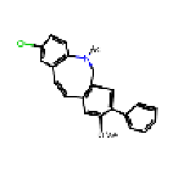 COc1cc2c(cc1-c1ccccc1)CN(C(C)=O)c1ccc(Cl)cc1/C=C\2